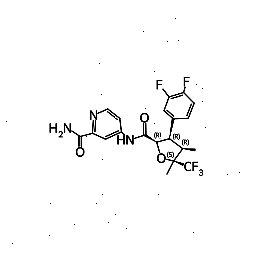 C[C@@H]1[C@H](c2ccc(F)c(F)c2)[C@H](C(=O)Nc2ccnc(C(N)=O)c2)O[C@]1(C)C(F)(F)F